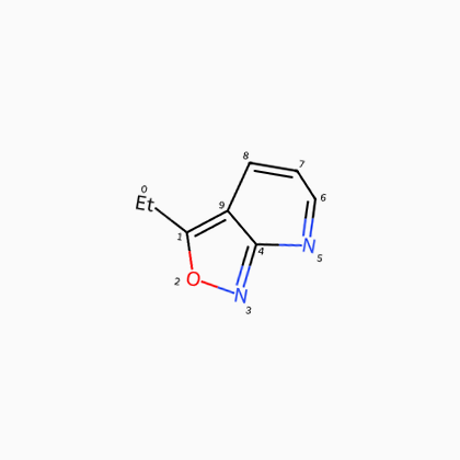 CCc1onc2ncccc12